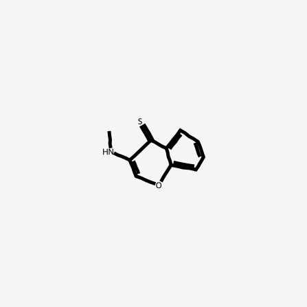 CNc1coc2ccccc2c1=S